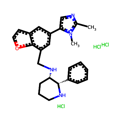 Cc1ncc(-c2cc(CN[C@H]3CCCN[C@H]3c3ccccc3)c3occc3c2)n1C.Cl.Cl.Cl